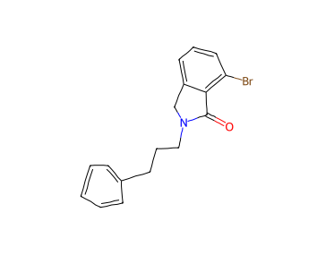 O=C1c2c(Br)cccc2CN1CCCc1ccccc1